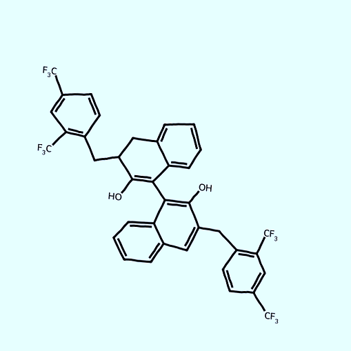 OC1=C(c2c(O)c(Cc3ccc(C(F)(F)F)cc3C(F)(F)F)cc3ccccc23)c2ccccc2CC1Cc1ccc(C(F)(F)F)cc1C(F)(F)F